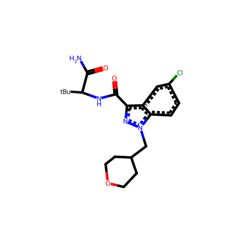 CC(C)(C)C(NC(=O)c1nn(CC2CCOCC2)c2ccc(Cl)cc12)C(N)=O